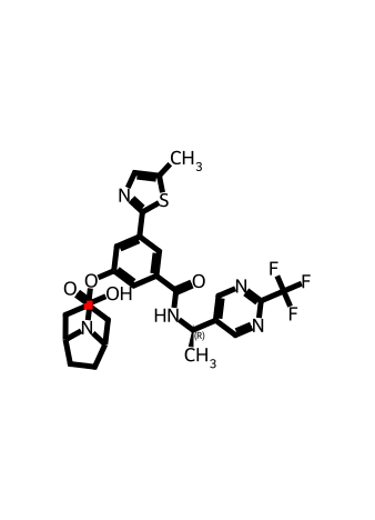 Cc1cnc(-c2cc(OC3CC4CCC(C3)N4C(=O)O)cc(C(=O)N[C@H](C)c3cnc(C(F)(F)F)nc3)c2)s1